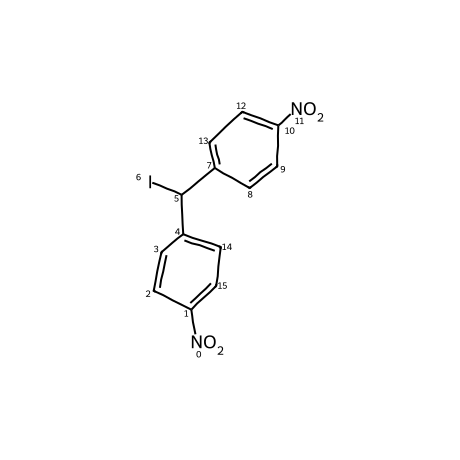 O=[N+]([O-])c1ccc(C(I)c2ccc([N+](=O)[O-])cc2)cc1